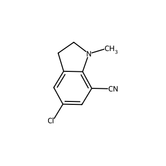 CN1CCc2cc(Cl)cc(C#N)c21